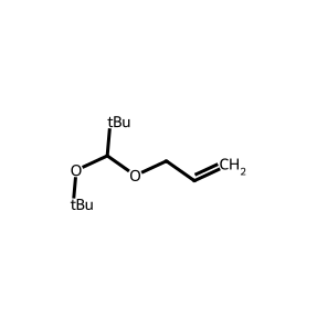 C=CCOC(OC(C)(C)C)C(C)(C)C